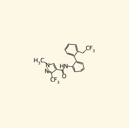 Cn1cc(C(=O)Nc2ccccc2-c2ccccc2CC(F)(F)F)c(C(F)(F)F)n1